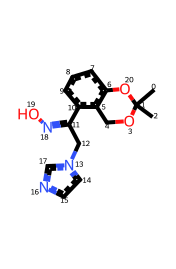 CC1(C)OCc2c(cccc2/C(Cn2ccnc2)=N\O)O1